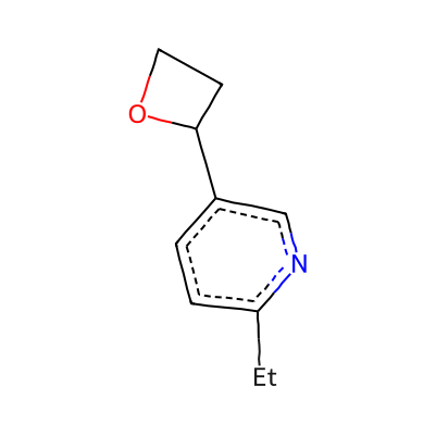 CCc1ccc(C2CCO2)cn1